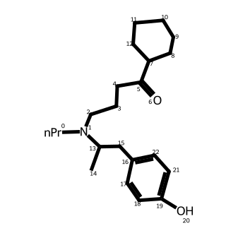 CCCN(CCCC(=O)C1CCCCC1)C(C)Cc1ccc(O)cc1